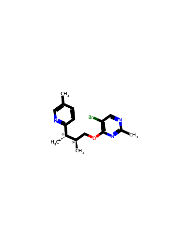 Cc1ccc([C@@H](C)[C@H](C)COc2nc(C)ncc2Br)nc1